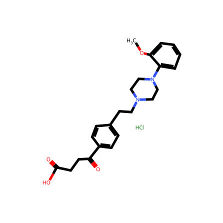 COc1ccccc1N1CCN(CCc2ccc(C(=O)CCC(=O)O)cc2)CC1.Cl